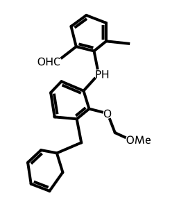 COCOc1c(CC2C=CC=CC2)cccc1Pc1c(C)cccc1C=O